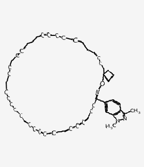 Cc1nn(C)c2cc(C3=NOC4(CCCCCCCCCCCCCCCCCCCCCCCCCCCCCCCCCCCCCC3)CCC4)ccc12